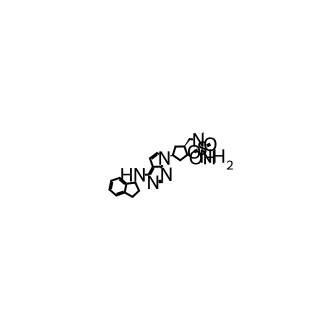 CN(C[C@@H]1C[C@@H](n2ccc3c(N[C@H]4CCc5ccccc54)ncnc32)C[C@@H]1O)S(N)(=O)=O